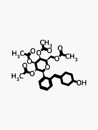 CC(=O)OC[C@H]1O[C@@H](c2ccccc2C=C2CCC(O)CC2)[C@H](OC(C)=O)[C@@H](OC(C)=O)[C@@H]1OC(C)=O